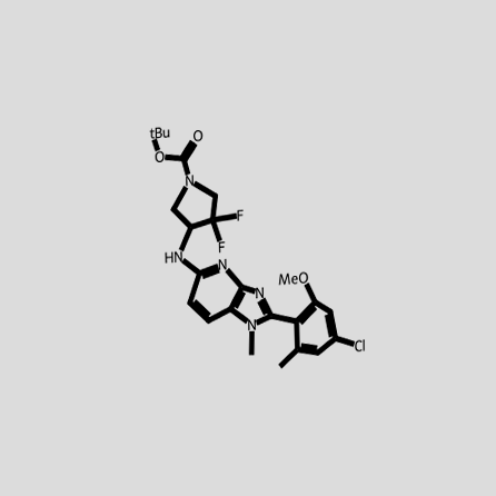 COc1cc(Cl)cc(C)c1-c1nc2nc(NC3CN(C(=O)OC(C)(C)C)CC3(F)F)ccc2n1C